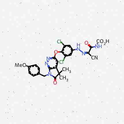 COc1ccc(CN2C(=O)C(C)(C)c3cc(Oc4c(Cl)cc(NN=C(C#N)C(=O)NC(=O)O)cc4Cl)nnc32)cc1